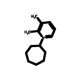 Cc1ccc[n+](C2CCCCCC2)c1C